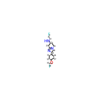 FCCNc1ccn2cc(-c3ccc(OCF)cc3)nc2c1